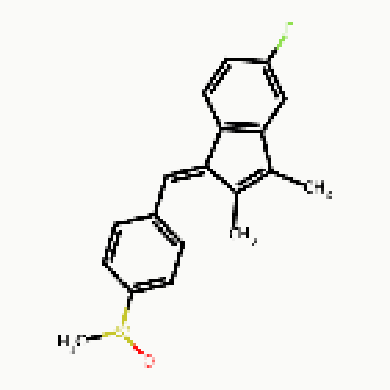 CC1=C(C)c2cc(F)ccc2C1=Cc1ccc([S+](C)[O-])cc1